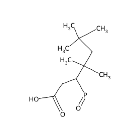 CC(C)(C)CC(C)(C)C(CC(=O)O)P=O